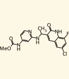 COC(=O)Nc1ccnc(NC(C)c2cc3cc(Cl)cc(F)c3[nH]c2=O)c1